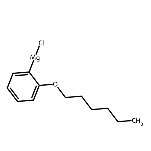 CCCCCCOc1cccc[c]1[Mg][Cl]